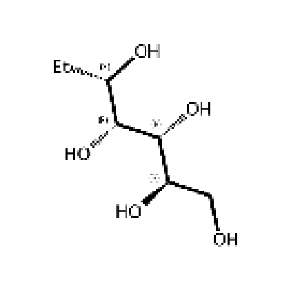 CC[C@H](O)[C@@H](O)[C@H](O)[C@H](O)CO